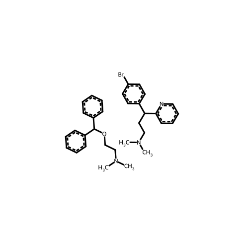 CN(C)CCC(c1ccc(Br)cc1)c1ccccn1.CN(C)CCOC(c1ccccc1)c1ccccc1